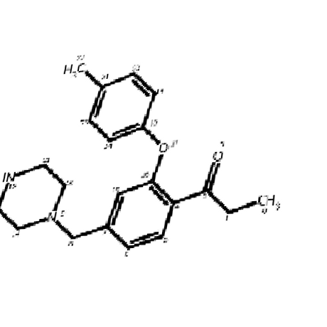 CCC(=O)c1ccc(CN2CCNCC2)cc1Oc1ccc(C)cc1